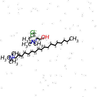 CCCCCCCCCCCCCCCCCC[N+](C)(C)C.C[N+](C)(C)CCO.[Cl-].[Cl-]